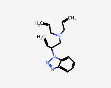 C=CCN(CC=C)CC(C=C)n1nnc2ccccc21